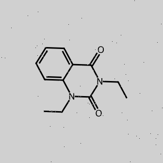 CCn1c(=O)c2ccccc2n(CC)c1=O